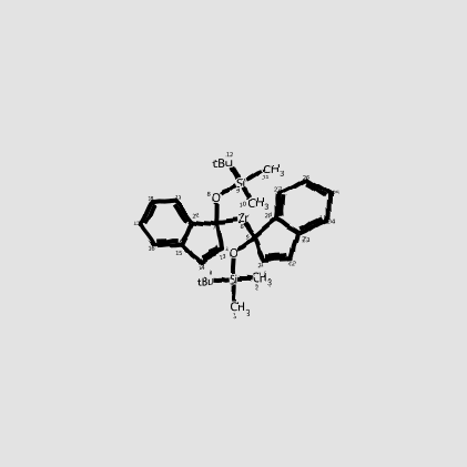 CC(C)(C)[Si](C)(C)O[C]1([Zr][C]2(O[Si](C)(C)C(C)(C)C)C=Cc3ccccc32)C=Cc2ccccc21